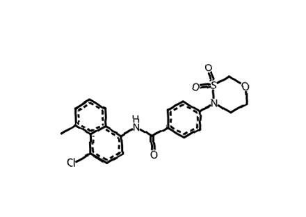 Cc1cccc2c(NC(=O)c3ccc(N4CCOCS4(=O)=O)cc3)ccc(Cl)c12